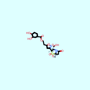 C[C@]1(c2cc(CCOC(=O)c3ccc(O)c(O)c3)on2)[C@H](C(=O)O)N2C(=O)C[C@H]2S1(=O)=O